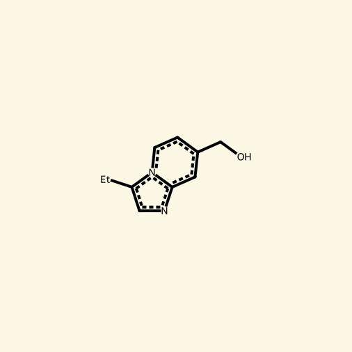 CCc1cnc2cc(CO)ccn12